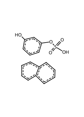 O=S(=O)(O)Oc1cccc(O)c1.c1ccc2ccccc2c1